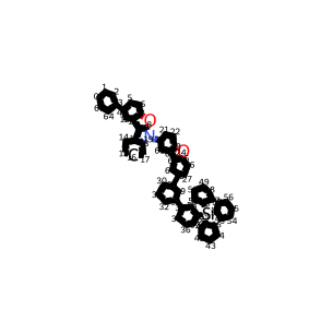 c1ccc(-c2ccc3oc4c(c3c2)c2ccccc2n4-c2ccc3oc4ccc(-c5cccc(-c6cccc([Si](c7ccccc7)(c7ccccc7)c7ccccc7)c6)c5)cc4c3c2)cc1